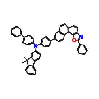 CC1(C)c2ccccc2-c2ccc(N(c3ccc(-c4ccccc4)cc3)c3ccc(-c4ccc5c(ccc6ccc7nc(-c8ccccc8)oc7c65)c4)cc3)cc21